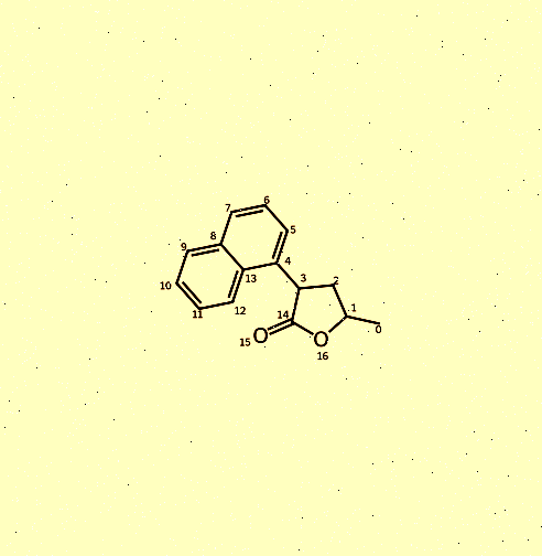 CC1CC(c2cccc3ccccc23)C(=O)O1